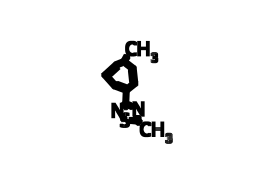 Cc1nc(C2=CC=CC(C)C=C2)ns1